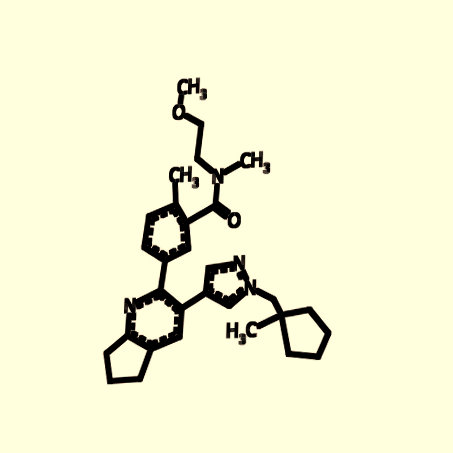 COCCN(C)C(=O)c1cc(-c2nc3c(cc2-c2cnn(CC4(C)CCCC4)c2)CCC3)ccc1C